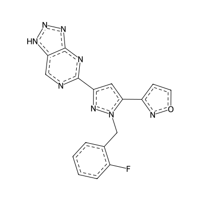 Fc1ccccc1Cn1nc(-c2ncc3[nH]nnc3n2)cc1-c1ccon1